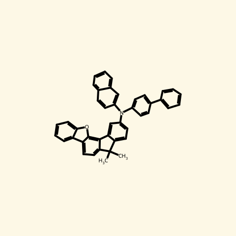 CC1(C)c2ccc(N(c3ccc(-c4ccccc4)cc3)c3ccc4ccccc4c3)cc2-c2c1ccc1c2oc2ccccc21